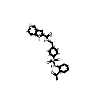 CC(=O)c1ccccc1NS(=O)(=O)c1ccc(CNC(=O)c2cc3cnccc3[nH]2)cc1